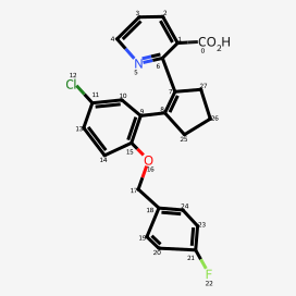 O=C(O)c1cccnc1C1=C(c2cc(Cl)ccc2OCc2ccc(F)cc2)CCC1